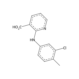 Cc1ccc(Nc2ncccc2C(=O)O)cc1Cl